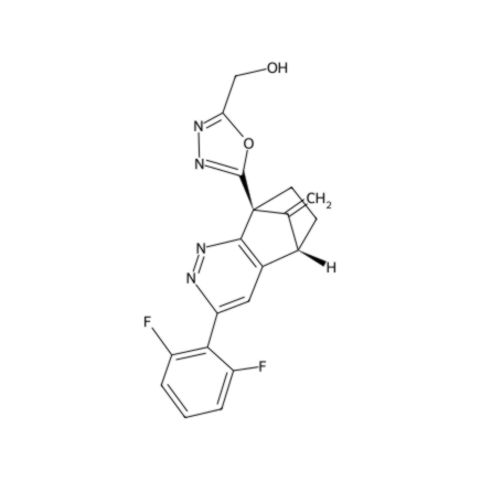 C=C1[C@@H]2CC[C@@]1(c1nnc(CO)o1)c1nnc(-c3c(F)cccc3F)cc12